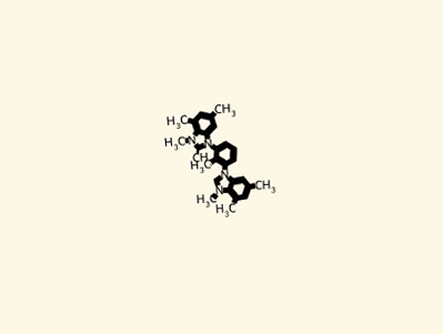 Cc1cc(C)c2c(c1)N(c1cccc(N3c4cc(C)cc(C)c4N(C)[C@@H]3C)c1C)CN2C